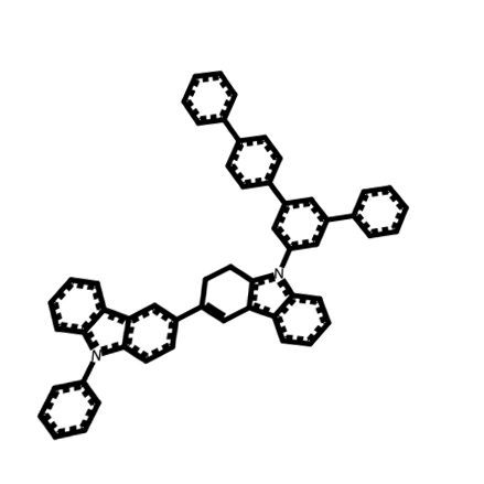 C1=C(c2ccc3c(c2)c2ccccc2n3-c2ccccc2)CCc2c1c1ccccc1n2-c1cc(-c2ccccc2)cc(-c2ccc(-c3ccccc3)cc2)c1